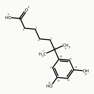 CC(C)(CCCCC(=O)O)c1cc(O)cc(O)c1